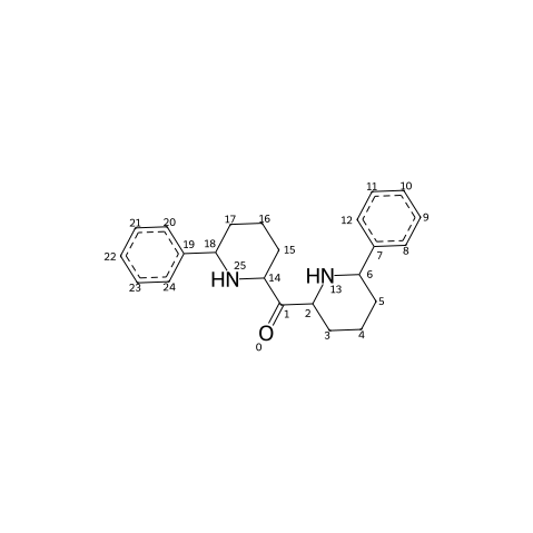 O=C(C1CCCC(c2ccccc2)N1)C1CCCC(c2ccccc2)N1